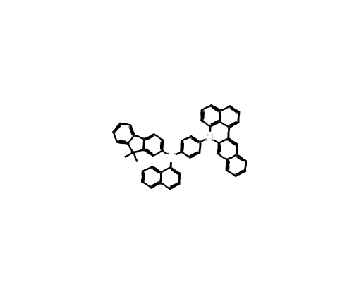 CC1(C)c2ccccc2-c2ccc(N(c3ccc(N4c5cc6ccccc6cc5-c5cccc6cccc4c56)cc3)c3cccc4ccccc34)cc21